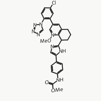 COC(=O)Nc1ccc(-c2cnc(C3CCCc4cc(-c5cc(Cl)ccc5-n5cnnn5)c[n+](OC)c43)[nH]2)cc1